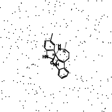 Cc1ccc2c(c1)[C@]1(N[C@H](C)CCc3c1[nH]c1ccccc31)C(=O)N2